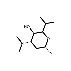 CC(C)C1O[C@H](C)C[C@H](N(C)C)[C@H]1O